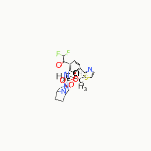 CC(C)(C)OC(=O)N1C2CCC1CN(c1nc3c(C(=O)C(F)F)ccc(-c4nccs4)c3o1)C2